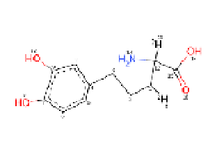 [2H]C(CCc1ccc(O)c(O)c1)C([2H])(N)C(=O)O